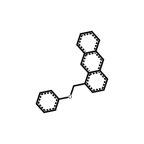 [c]1ccccc1OCc1cccc2cc3ccccc3cc12